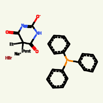 Br.CCCC(C)C1(CC)C(=O)N=C([O-])NC1=O.[Na+].c1ccc(P(c2ccccc2)c2ccccc2)cc1